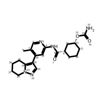 Cc1cnc(NC(=O)[C@H]2CCC[C@@H](OC(N)=O)C2)cc1-c1cnn2c1CCCC2